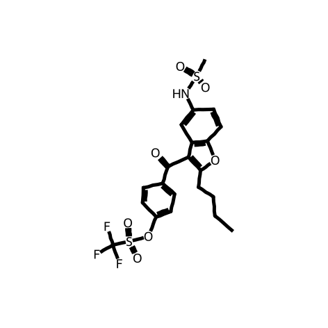 CCCCc1oc2ccc(NS(C)(=O)=O)cc2c1C(=O)c1ccc(OS(=O)(=O)C(F)(F)F)cc1